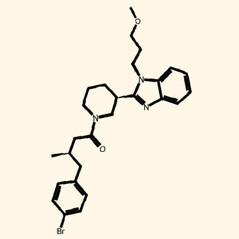 COCCCn1c([C@@H]2CCCN(C(=O)C[C@H](C)Cc3ccc(Br)cc3)C2)nc2ccccc21